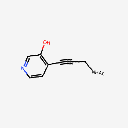 CC(=O)NCC#Cc1ccncc1O